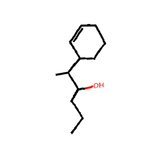 CCCC(O)C(C)C1C=CCCC1